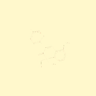 COc1cccc2c1C=C(c1ccc(O)cc1)C(=O)[N+]2(CC(=O)[O-])OC